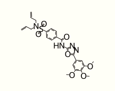 C=CCN(CC=C)S(=O)(=O)c1ccc(C(=O)Nc2nnc(-c3cc(OC)c(OC)c(OC)c3)o2)cc1